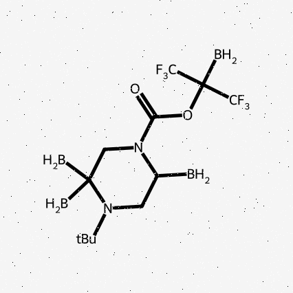 BC1CN(C(C)(C)C)C(B)(B)CN1C(=O)OC(B)(C(F)(F)F)C(F)(F)F